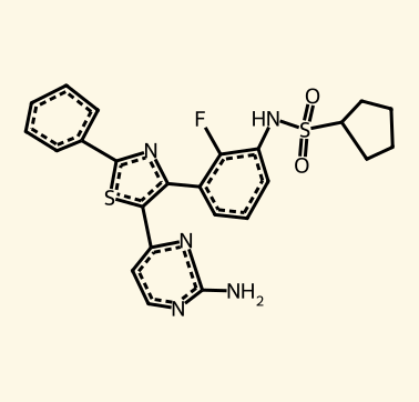 Nc1nccc(-c2sc(-c3ccccc3)nc2-c2cccc(NS(=O)(=O)C3CCCC3)c2F)n1